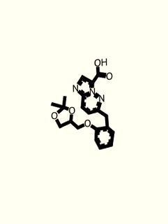 CC1(C)OCC(COc2ccccc2Cc2ccc3ncc(C(=O)O)n3n2)O1